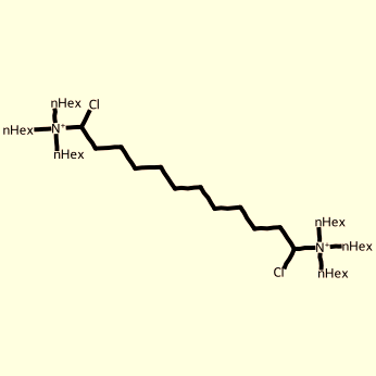 CCCCCC[N+](CCCCCC)(CCCCCC)C(Cl)CCCCCCCCCCC(Cl)[N+](CCCCCC)(CCCCCC)CCCCCC